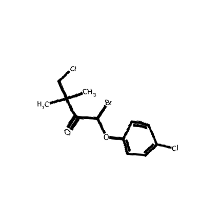 CC(C)(CCl)C(=O)C(Br)Oc1ccc(Cl)cc1